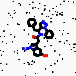 Nn1cc(CC(=O)NC(Cc2ccccc2)c2cnnn2-c2ccccc2)c2cc(O)ccc21